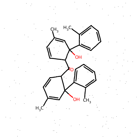 CC1=CC(O)(c2ccccc2C)C(C(=O)C2C=CC(C)=CC2(O)c2ccccc2C)C=C1